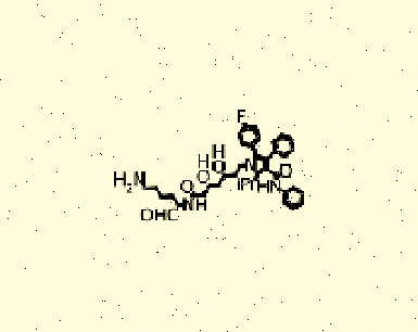 CC(C)c1c(C(=O)Nc2ccccc2)c(-c2ccccc2)c(-c2ccc(F)cc2)n1CC[C@@H](O)C[C@@H](O)CC(=O)NC(C=O)CCCCN